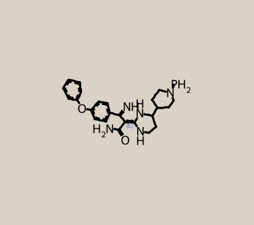 N=C(/C(C(N)=O)=C1/NCCC(C2CCN(P)CC2)N1)c1ccc(Oc2ccccc2)cc1